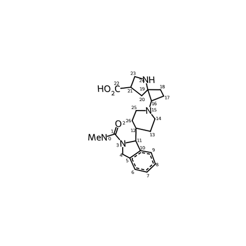 CNC(=O)N1Cc2ccccc2C1C1CCN(C2CCC23CC(C(=O)O)CN3)CC1